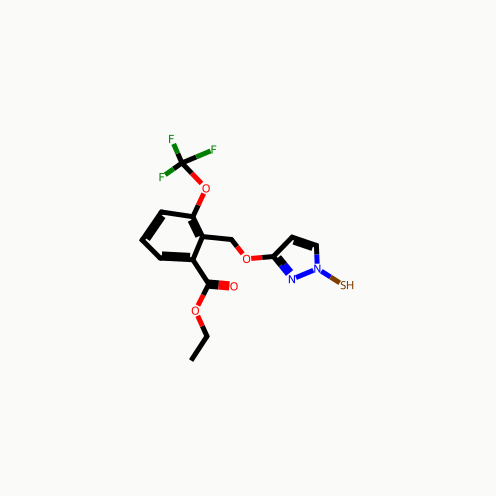 CCOC(=O)c1cccc(OC(F)(F)F)c1COc1ccn(S)n1